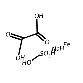 O=C(O)C(=O)O.O=S(=O)(O)O.[Fe].[NaH]